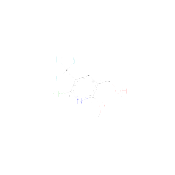 COc1nc(Cl)c(C(F)(F)F)cc1CO